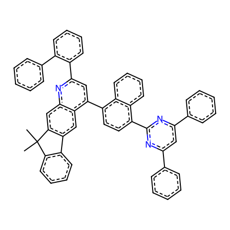 CC1(C)c2ccccc2-c2cc3c(-c4ccc(-c5nc(-c6ccccc6)cc(-c6ccccc6)n5)c5ccccc45)cc(-c4ccccc4-c4ccccc4)nc3cc21